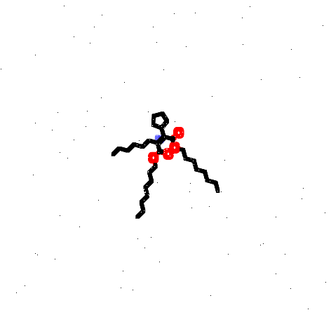 CCCCCCCCOC(=O)/C(CCCCCC)=C(\C(=O)OCCCCCCCC)C1CCCC1